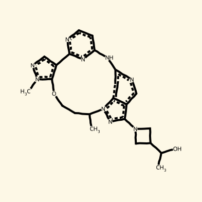 CC(O)C1CN(c2nn3c4cc(ncc24)Nc2ccnc(n2)-c2cnn(C)c2OCCC3C)C1